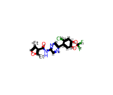 CCc1coc(CC)c1C(=O)Nc1cnc(-c2cc3c(cc2Cl)OC(F)(F)O3)cn1